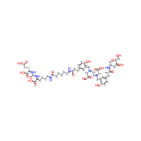 O=C(O)CC[C@H](NC(=O)N[C@@H](CCCCNC(=O)CCCCCNC(=O)CCc1ccc(O)c(CN(CCN(CC(=O)O)Cc2cc(CCC(=O)NC3COC(CO)[C@@H](O)C3)ccc2O)CC(=O)O)c1)C(=O)O)C(=O)O